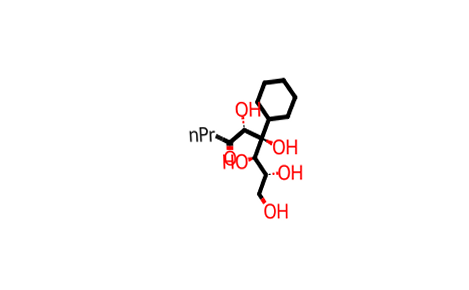 CCCC(=O)[C@H](O)[C@](O)(C1CCCCC1)[C@H](O)[C@H](O)CO